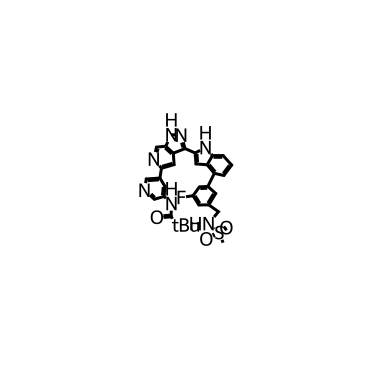 CC(C)(C)C(=O)Nc1cncc(-c2cc3c(-c4cc5c(-c6cc(F)cc(CNS(C)(=O)=O)c6)cccc5[nH]4)n[nH]c3cn2)c1